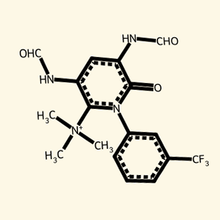 C[N+](C)(C)c1c(NC=O)cc(NC=O)c(=O)n1-c1cccc(C(F)(F)F)c1